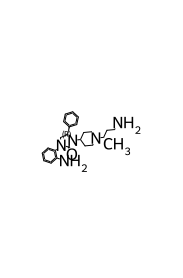 CC(CCN)N1CCC(N2C(=O)N(c3ccccc3N)C[C@H]2c2ccccc2)CC1